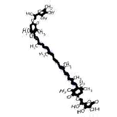 C=C1OC(C(O)COC2CC(C)(C)C(/C=C/C(C)=C/C=C/C(C)=C/C=C/C=C(C)/C=C/C=C(C)/C=C/C3=C(C)C(=O)C(OCC(O)C4OC(=O)C(O)=C4O)CC3(C)C)=C(C)C2=O)C(O)=C1O